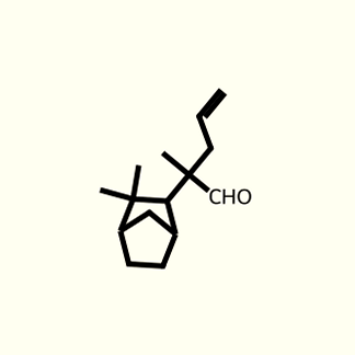 C=CCC(C)(C=O)C1C2CCC(C2)C1(C)C